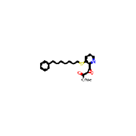 COC(=O)C1OC1c1ncccc1SCCCCCCCc1ccccc1